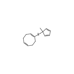 C[C]1([Ir-][C]2=CCCC=CCC2)C=CC=C1